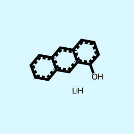 Oc1cccc2cc3ccccc3cc12.[LiH]